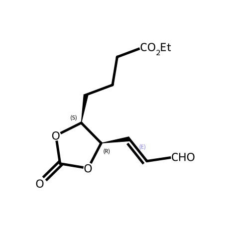 CCOC(=O)CCC[C@@H]1OC(=O)O[C@@H]1/C=C/C=O